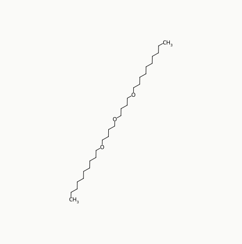 CCCCCCCCCCOCCCCOCCCCOCCCCCCCCCC